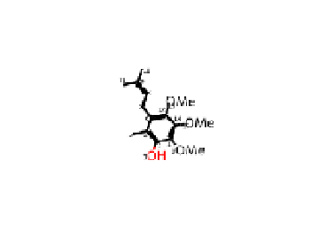 COc1c(O)c(C)c(CC=C(C)C)c(OC)c1OC